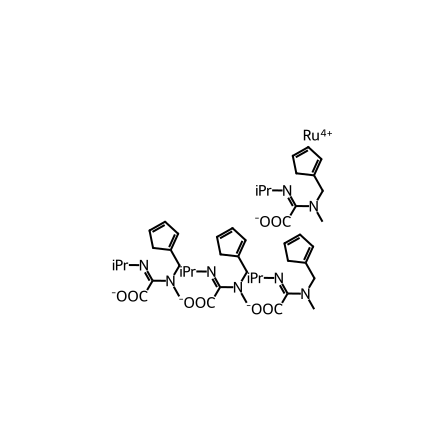 CC(C)N=C(C(=O)[O-])N(C)CC1=CC=CC1.CC(C)N=C(C(=O)[O-])N(C)CC1=CC=CC1.CC(C)N=C(C(=O)[O-])N(C)CC1=CC=CC1.CC(C)N=C(C(=O)[O-])N(C)CC1=CC=CC1.[Ru+4]